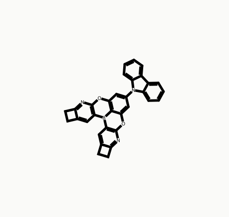 c1ccc2c(c1)c1ccccc1n2-c1cc2c3c(c1)Oc1nc4c(cc1B3c1cc3c(nc1O2)CC3)CC4